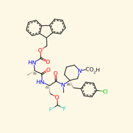 C[C@H](NC(=O)OCC1c2ccccc2-c2ccccc21)C(=O)N[C@@H](COC(F)F)C(=O)N(C)[C@@]1(Cc2ccc(Cl)cc2)CCCN(C(=O)O)C1